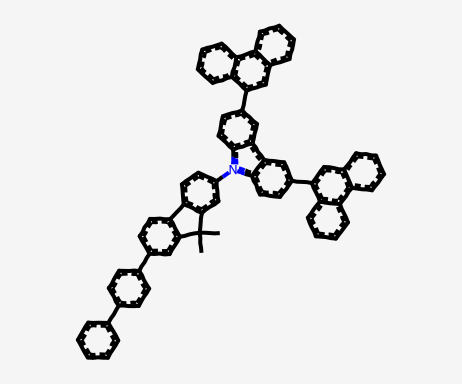 CC1(C)c2cc(-c3ccc(-c4ccccc4)cc3)ccc2-c2ccc(-n3c4ccc(-c5cc6ccccc6c6ccccc56)cc4c4cc(-c5cc6ccccc6c6ccccc56)ccc43)cc21